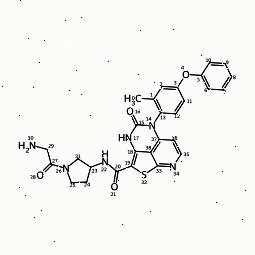 Cc1cc(Oc2ccccc2)ccc1N1C(=O)Nc2c(C(=O)NC3CCN(C(=O)CN)C3)sc3nccc1c23